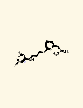 CS/C(=C\[N+](=O)[O-])NCCCSc1cccc(CN(C)C)n1